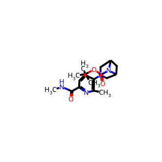 CNC(=O)c1ccc(N2CC3CC(C2)N3C(=O)OC(C)(C)C)c(C)n1